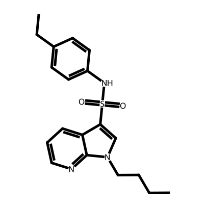 CCCCn1cc(S(=O)(=O)Nc2ccc(CC)cc2)c2cccnc21